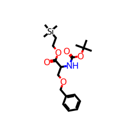 CC(C)(C)OC(=O)NC(COCc1ccccc1)C(=O)OCC[Si](C)(C)C